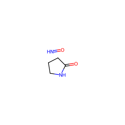 N=O.O=C1CCCN1